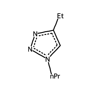 CCCn1cc(CC)nn1